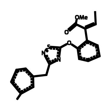 CC=C(C(=O)OC)c1ccccc1Oc1nc(Cc2cccc(C)c2)ns1